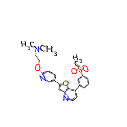 CN(C)CCOc1ccc(-c2cc3nccc(-c4cccc(S(C)(=O)=O)c4)c3o2)cn1